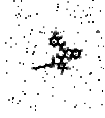 CCCCCNC(=O)[C@@H]1CC(F)(F)CN1C(=O)[C@@H](O)[C@H](Cc1ccccc1)NC(=O)c1cccc(O)c1C